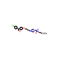 COCCCNC(=O)CN1CCN(CCCCCOc2ccc3c(-c4ccc(Cl)cc4)coc3c2)CC1